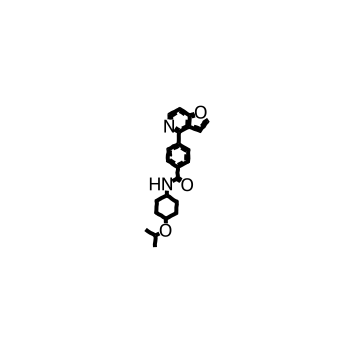 CC(C)OC1CCC(NC(=O)c2ccc(-c3nccc4occc34)cc2)CC1